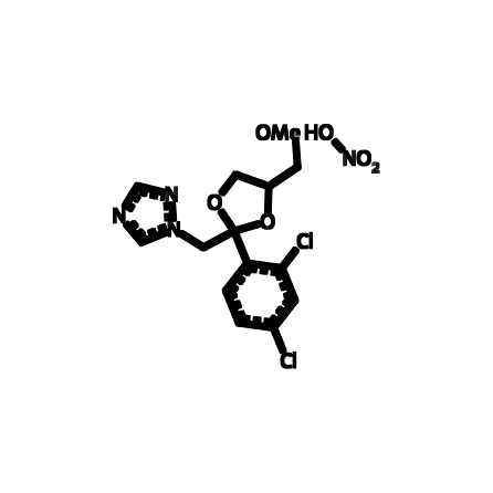 COCC1COC(Cn2cncn2)(c2ccc(Cl)cc2Cl)O1.O=[N+]([O-])O